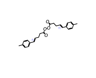 Cc1ccc(/C=C/CCC(=O)OOC(=O)CC/C=C/c2ccc(C)cc2)cc1